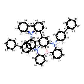 c1ccc(-c2ccc(N3c4ccccc4B4c5ccccc5N(c5ccc(-c6ccccc6)cc5)c5cc(-c6cccc7c8ccccc8n(-c8ccccc8)c67)cc3c54)cc2)cc1